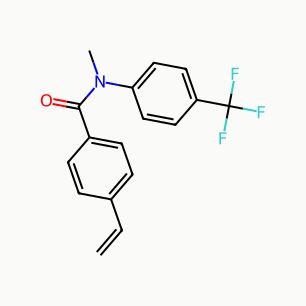 C=Cc1ccc(C(=O)N(C)c2ccc(C(F)(F)F)cc2)cc1